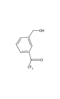 O=C(c1cccc(CO)c1)C(F)(F)F